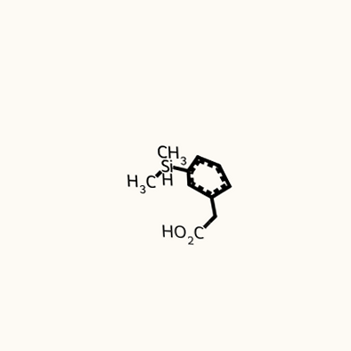 C[SiH](C)c1cccc(CC(=O)O)c1